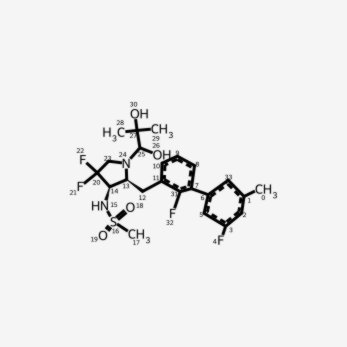 Cc1cc(F)cc(-c2cccc(C[C@H]3[C@@H](NS(C)(=O)=O)C(F)(F)CN3C(O)C(C)(C)O)c2F)c1